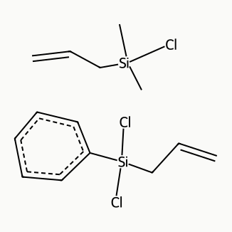 C=CC[Si](C)(C)Cl.C=CC[Si](Cl)(Cl)c1ccccc1